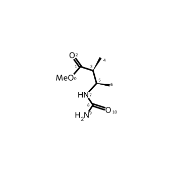 COC(=O)[C@@H](C)[C@@H](C)NC(N)=O